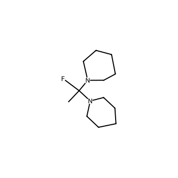 CC(F)(N1CCCCC1)N1CCCCC1